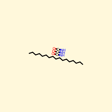 CCCCCCCCCCCCCCCCC.N=C=O.N=C=O.N=C=O